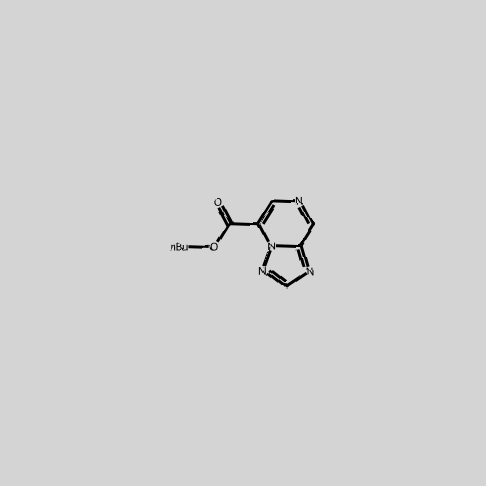 CCCCOC(=O)c1cncc2n[c]nn12